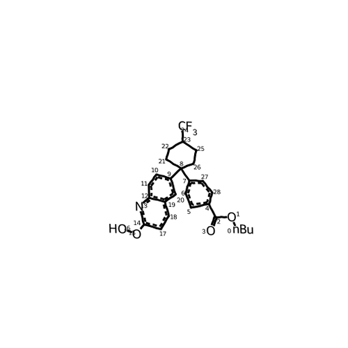 CCCCOC(=O)c1ccc(C2(c3ccc4nc(OO)ccc4c3)CCC(C(F)(F)F)CC2)cc1